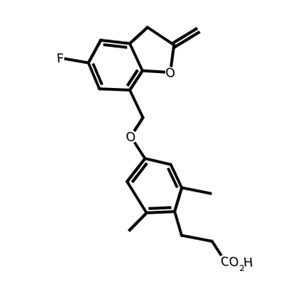 C=C1Cc2cc(F)cc(COc3cc(C)c(CCC(=O)O)c(C)c3)c2O1